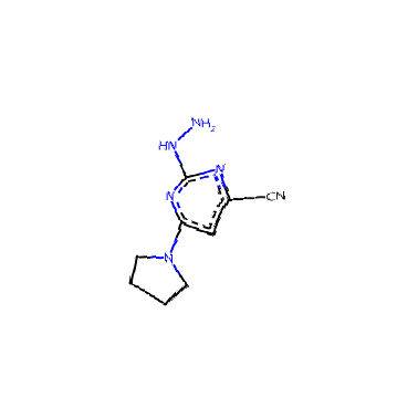 N#Cc1cc(N2CCCC2)nc(NN)n1